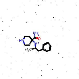 CC(Cc1ccccc1)NC1(C(N)=O)CCNCC1